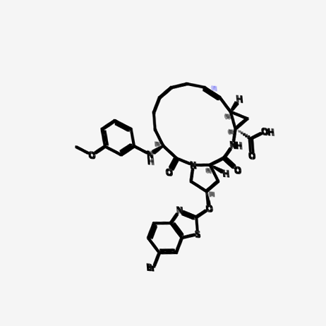 COc1cccc(N[C@H]2CCCCC/C=C\[C@@H]3C[C@@]3(C(=O)O)NC(=O)[C@@H]3C[C@@H](Oc4nc5ccc(Br)cc5s4)CN3C2=O)c1